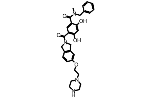 CN(Cc1ccccc1)C(=O)c1cc(C(=O)N2Cc3ccc(OCCN4CCNCC4)cc3C2)c(O)cc1O